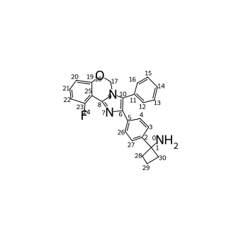 NC1(c2ccc(-c3nc4n(c3-c3ccccc3)COc3cccc(F)c3-4)cc2)CCC1